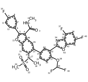 CNC(=O)c1c(-c2ccc(F)cc2)oc2cc(N(C)S(C)(=O)=O)c(-c3ccc(OC(F)F)c(-c4nc5c(F)cc(F)cc5o4)c3)cc12